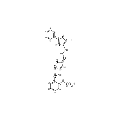 Cc1sc(-c2ccccc2)nc1CCOc1cc(COc2ccccc2CC(=O)O)on1